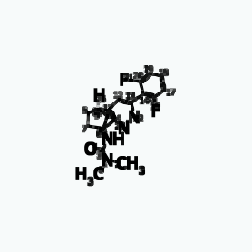 CN(C)C(=O)N[C@]12CC[C@H](C1)c1cc(-c3c(F)cccc3F)nnc12